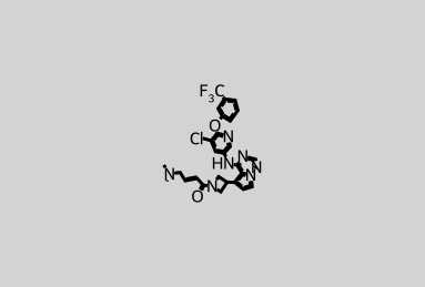 CN(C)C/C=C/C(=O)N1CC(c2ccn3ncnc(Nc4cnc(Oc5cccc(C(F)(F)F)c5)c(Cl)c4)c23)C1